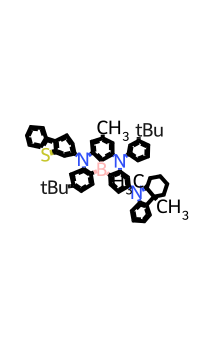 Cc1cc2c3c(c1)N(c1ccc4c(c1)sc1ccccc14)c1cc(C(C)(C)C)ccc1B3c1ccc(N3c4ccccc4C4(C)CCCCC34C)cc1N2c1cccc(C(C)(C)C)c1